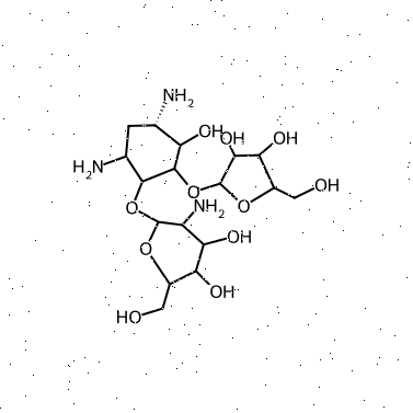 NC1C[C@H](N)C(O)C(OC2OC(CO)C(O)C2O)C1OC1OC(CO)C(O)C(O)C1N